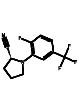 N#C[C@H]1CCCN1c1cc(C(F)(F)F)ccc1F